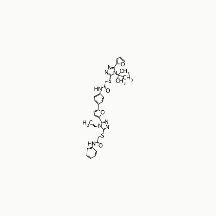 C=Cn1c(SCC(=O)Nc2ccccc2)nnc1-c1ccc(-c2ccc(NC(=O)CSc3nnc(-c4ccco4)n3C(C)(C)C)cc2)o1